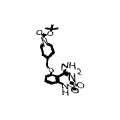 CC(C)(C)OC(=O)N1CCC(COc2cccc3c2C(N)=NS(=O)(=O)N3)CC1